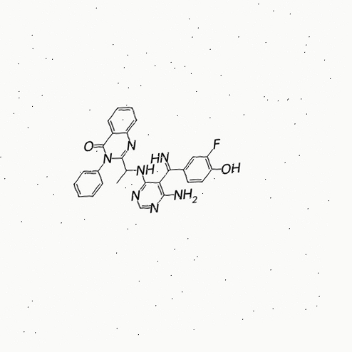 CC(Nc1ncnc(N)c1C(=N)c1ccc(O)c(F)c1)c1nc2ccccc2c(=O)n1-c1ccccc1